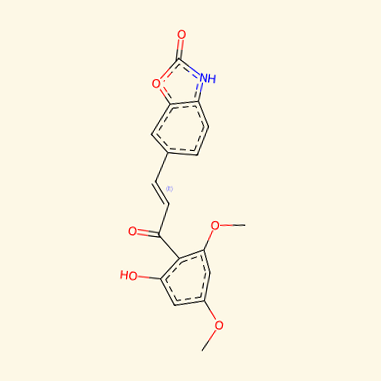 COc1cc(O)c(C(=O)/C=C/c2ccc3[nH]c(=O)oc3c2)c(OC)c1